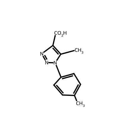 Cc1ccc(-n2nnc(C(=O)O)c2C)cc1